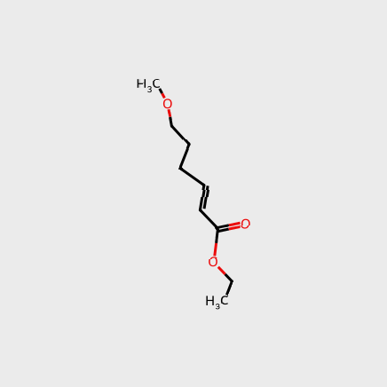 CCOC(=O)/C=C/CCCOC